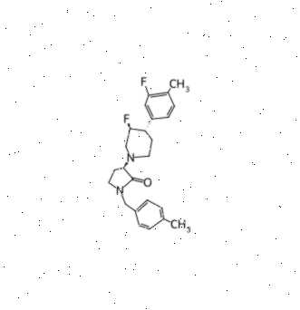 Cc1ccc(CN2CC[C@@H](N3CC[C@@H](c4ccc(C)c(F)c4)[C@H](F)C3)C2=O)cc1